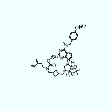 C=CC(=C)CCN(CC1CC(C[C@H]2C[C@@H](n3ccc4c(N(C)Cc5ccc(OC)cc5)ncnc43)[C@@H]3OC(C)(C)O[C@H]23)C1)C(=O)OC(C)(C)C